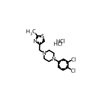 Cc1nc(CN2CCN(c3ccc(Cl)c(Cl)c3)CC2)cs1.Cl.Cl